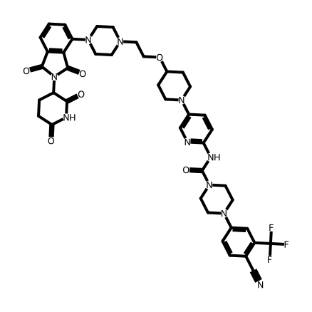 N#Cc1ccc(N2CCN(C(=O)Nc3ccc(N4CCC(OCCN5CCN(c6cccc7c6C(=O)N(C6CCC(=O)NC6=O)C7=O)CC5)CC4)cn3)CC2)cc1C(F)(F)F